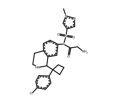 Cn1cc(S(=O)(=O)N(C(=O)CN)c2ccc3c(c2)C(C2(c4ccc(Cl)cc4)CCC2)NCC3)cn1